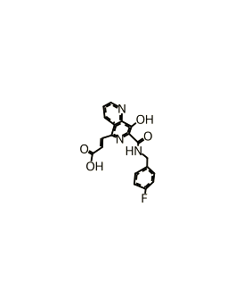 O=C(O)/C=C/c1nc(C(=O)NCc2ccc(F)cc2)c(O)c2ncccc12